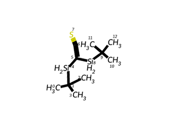 CC(C)(C)[SiH2]C(=C=S)[SiH2]C(C)(C)C